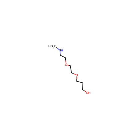 O=C(O)NCCOCCOCCCO